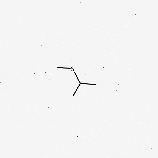 [CH2]SC(C)C